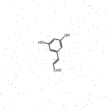 O=[C]/C=C/c1cc(O)cc(O)c1